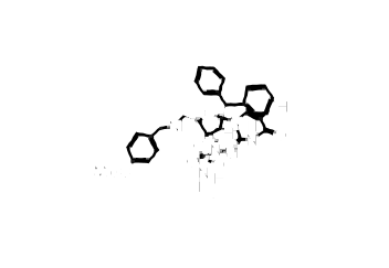 COc1ccc(CNC[C@H]2O[C@@](C(c3ccccc3)c3ccccc3)(n3cc(C)c(=O)[nH]c3=O)C[C@@H]2OP(C)(N)(O)N(C)C)cc1